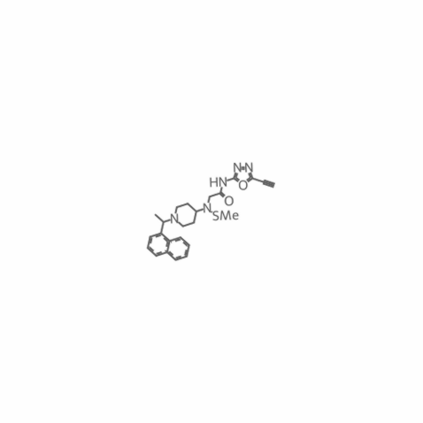 C#Cc1nnc(NC(=O)CN(SC)C2CCN(C(C)c3cccc4ccccc34)CC2)o1